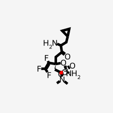 CN(C)C(=O)C[C@](CC(=O)C(N)CC1CC1)(OS(N)(=O)=O)C(F)=C(F)F